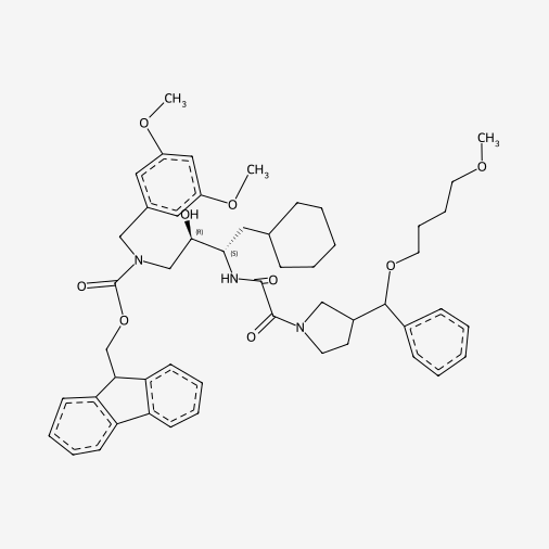 COCCCCOC(c1ccccc1)C1CCN(C(=O)C(=O)N[C@@H](CC2CCCCC2)[C@H](O)CN(Cc2cc(OC)cc(OC)c2)C(=O)OCC2c3ccccc3-c3ccccc32)C1